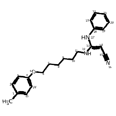 Cc1ccc(OCCCCCCN/C(=C\C#N)Nc2ccccc2)cc1